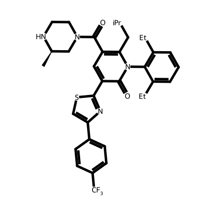 CCc1cccc(CC)c1-n1c(CC(C)C)c(C(=O)N2CCN[C@H](C)C2)cc(-c2nc(-c3ccc(C(F)(F)F)cc3)cs2)c1=O